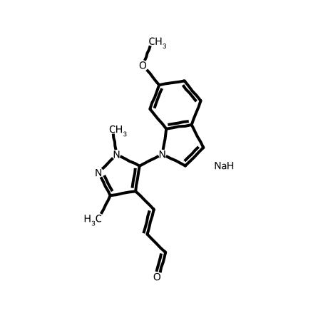 COc1ccc2ccn(-c3c(/C=C/C=O)c(C)nn3C)c2c1.[NaH]